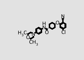 C[C@@H]1CN(c2ccc(NC(=O)[C@H]3CC[C@@H](Oc4cc(Cl)ccc4C#N)CC3)cc2)C[C@H](C)O1